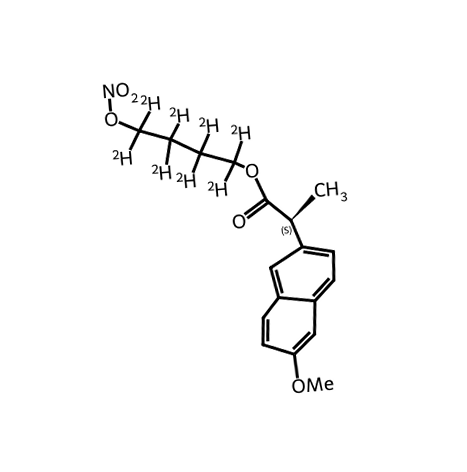 [2H]C([2H])(OC(=O)[C@@H](C)c1ccc2cc(OC)ccc2c1)C([2H])([2H])C([2H])([2H])C([2H])([2H])O[N+](=O)[O-]